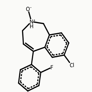 [O-][NH+]1CC=C(c2ccccc2F)c2cc(Cl)ccc2C1